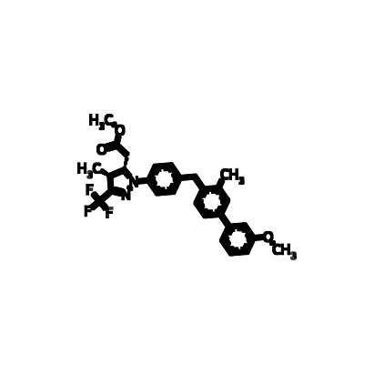 COC(=O)C[C@H]1[C@H](C)C(C(F)(F)F)=NN1c1ccc(Cc2ccc(-c3cccc(OC)c3)cc2C)cc1